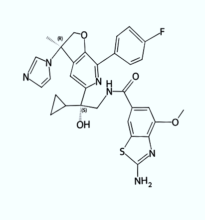 COc1cc(C(=O)NC[C@](O)(c2cc3c(c(-c4ccc(F)cc4)n2)OC[C@]3(C)n2ccnc2)C2CC2)cc2sc(N)nc12